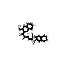 C/C(=C\C=C1N(C)c2cc3ccccc3cc2N1C)C(=O)c1cc2ccccc2cc1C=O